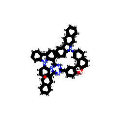 c1ccc(-n2c3ccccc3c3cccc(-c4nc(-c5ccc6ccccc6c5)nc(-c5ccc6oc7ccc8ccc(-n9c%10ccccc%10c%10cc%11ccccc%11cc%109)cc8c7c6c5)n4)c32)cc1